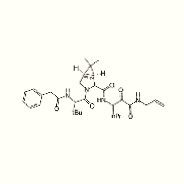 C=CCNC(=O)C(=O)C(CCC)NC(=O)C1[C@H]2[C@@H](CN1C(=O)C(NC(=O)Cc1ccccc1)C(C)(C)C)C2(C)C